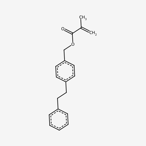 C=C(C)C(=O)OCc1ccc(CCc2ccccc2)cc1